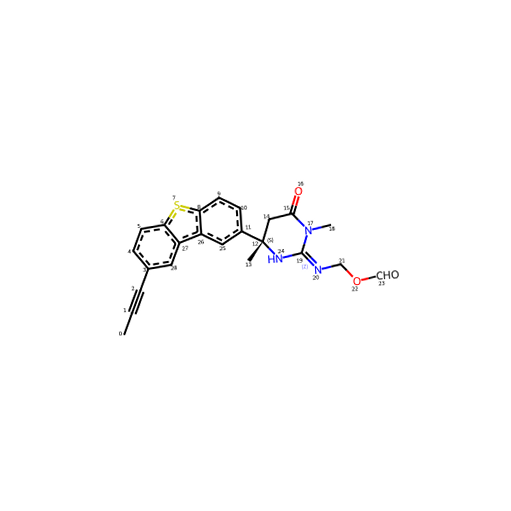 CC#Cc1ccc2sc3ccc([C@]4(C)CC(=O)N(C)/C(=N\COC=O)N4)cc3c2c1